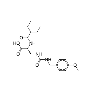 CCC(CC)C(=O)N[C@@H](CNC(=O)NCc1ccc(OC)cc1)C(=O)O